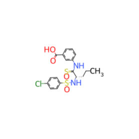 CCC[C@H](NS(=O)(=O)c1ccc(Cl)cc1)C(=S)Nc1cccc(C(=O)O)c1